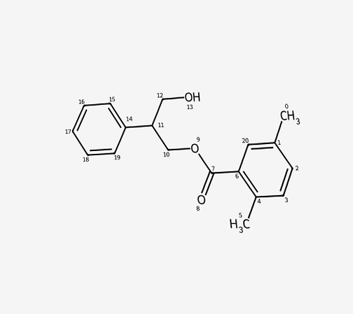 Cc1ccc(C)c(C(=O)OCC(CO)c2ccccc2)c1